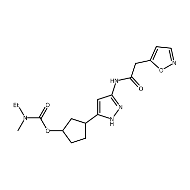 CCN(C)C(=O)OC1CCC(c2cc(NC(=O)Cc3ccno3)n[nH]2)C1